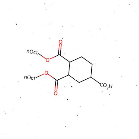 CCCCCCCCOC(=O)C1CCC(C(=O)O)CC1C(=O)OCCCCCCCC